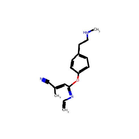 C=C/N=C(\C=C(/C)C#N)Oc1ccc(CCNC)cc1